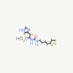 O=C(NCCCCC1CCSS1)NC(Cc1c[nH]cn1)C(=O)O